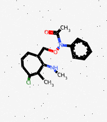 CNC1C(CON(C(C)=O)c2ccccc2)CCCC(Cl)C1C